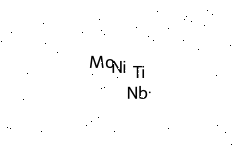 [Mo].[Nb].[Ni].[Ti]